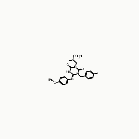 Cc1ccc(Cn2c(=O)n(C[C@H](C)C(=O)O)c(=O)[nH]/c2=N\c2ccc(OC(C)C)cc2)cc1